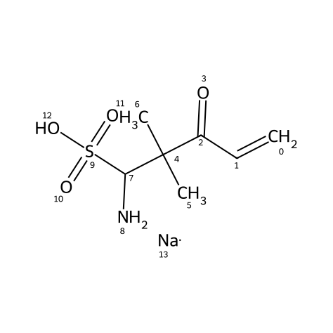 C=CC(=O)C(C)(C)C(N)S(=O)(=O)O.[Na]